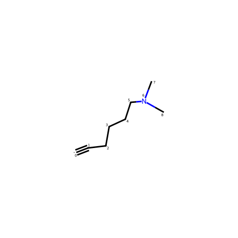 [C]#CCCCCN(C)C